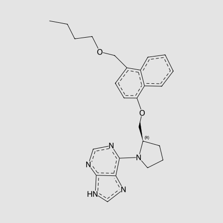 CCCCOCc1ccc(OC[C@H]2CCCN2c2ncnc3[nH]cnc23)c2ccccc12